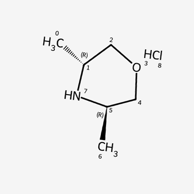 C[C@@H]1COC[C@@H](C)N1.Cl